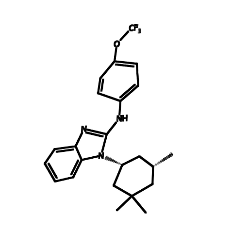 C[C@H]1C[C@@H](n2c(Nc3ccc(OC(F)(F)F)cc3)nc3ccccc32)CC(C)(C)C1